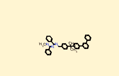 C=N/C(=N\C(=N/Cc1ccc(C(C)(C)c2ccc(-c3cccc(-c4ccccc4)c3)cc2)cc1)C1=CCCC=C1)c1ccccc1